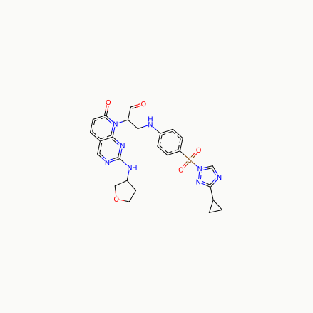 O=CC(CNc1ccc(S(=O)(=O)n2cnc(C3CC3)n2)cc1)n1c(=O)ccc2cnc(NC3CCOC3)nc21